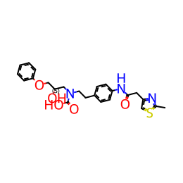 Cc1nc(CC(=O)Nc2ccc(CCN(C[C@H](O)COc3ccccc3)C(=O)O)cc2)cs1